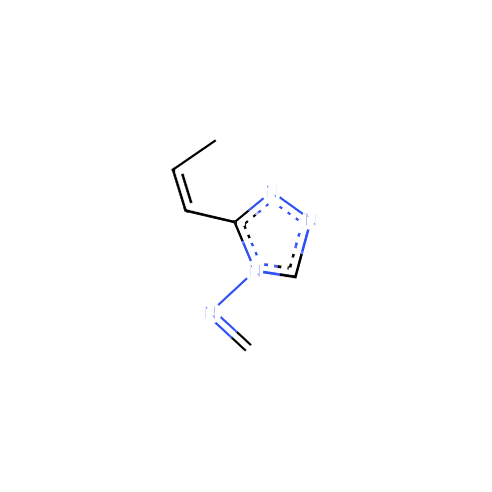 C=Nn1cnnc1/C=C\C